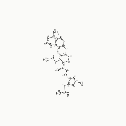 COCC1C(=O)N(Cc2ccc3c(N)ncnc3c2)CCN1C(=O)COc1sc(Cl)cc1CC(=O)O